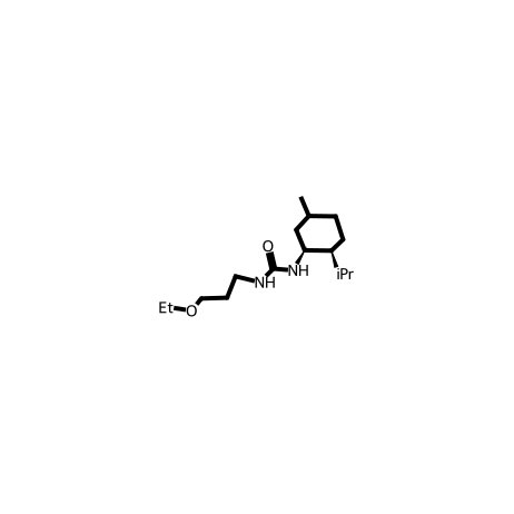 CCOCCCNC(=O)N[C@H]1CC(C)CC[C@H]1C(C)C